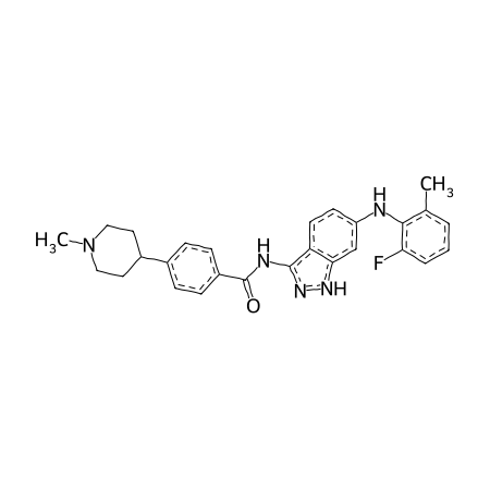 Cc1cccc(F)c1Nc1ccc2c(NC(=O)c3ccc(C4CCN(C)CC4)cc3)n[nH]c2c1